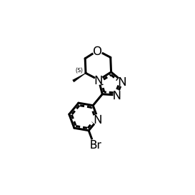 C[C@H]1COCc2nnc(-c3cccc(Br)n3)n21